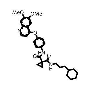 COc1cc2nccc(Oc3ccc(NC(=O)C4(C(=O)NCCCC5CCCCC5)CC4)cc3)c2cc1OC